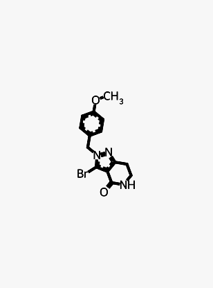 COc1ccc(Cn2nc3c(c2Br)C(=O)NCC3)cc1